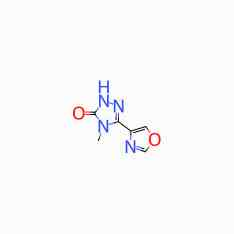 Cn1c(-c2cocn2)n[nH]c1=O